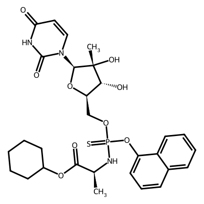 C[C@H](NP(=S)(OC[C@H]1O[C@@H](n2ccc(=O)[nH]c2=O)[C@](C)(O)[C@@H]1O)Oc1cccc2ccccc12)C(=O)OC1CCCCC1